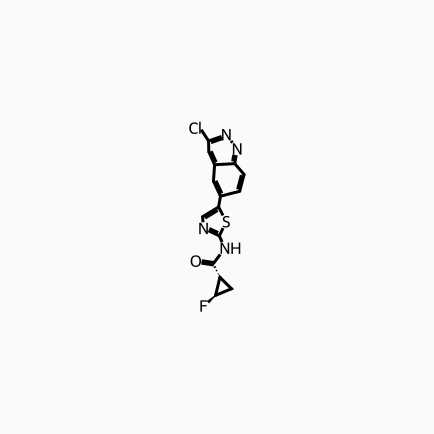 O=C(Nc1ncc(-c2ccc3nnc(Cl)cc3c2)s1)[C@@H]1C[C@H]1F